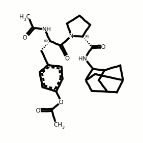 CC(=O)N[C@@H](Cc1ccc(OC(C)=O)cc1)C(=O)N1CCC[C@@H]1C(=O)NC1C2CC3CC(C2)CC1C3